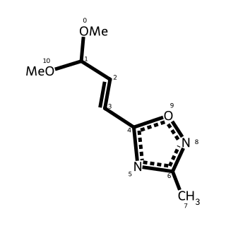 COC(C=Cc1nc(C)no1)OC